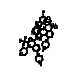 CN1CCN(c2ccc(C(=O)n3nc(-c4c(N5CCN(C)CC5)ccc(C(N)=O)c4N(C(=O)C(F)(F)F)C4CCOCC4)c4nc(Sc5cc(F)cc(F)c5)cnc43)c(N(C(=O)C(F)(F)F)C3CCOCC3)c2)CC1